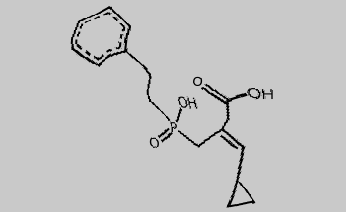 O=C(O)/C(=C/C1CC1)CP(=O)(O)CCc1ccccc1